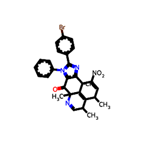 CC1C=NC2(C)C(=O)c3c(nc(-c4ccc(Br)cc4)n3-c3ccccc3)C3(C)C([N+](=O)[O-])=CC(C)C1=C23